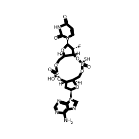 Nc1ncnc2c1ncn2[C@H]1C[C@@H]2OP(=O)(O)OC[C@H]3O[C@@H](n4ccc(=O)[nH]c4=O)[C@H](F)[C@@H]3OP(=O)(S)OC[C@H]2O1